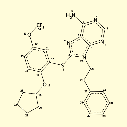 Nc1ncnc2c1nc(Sc1cc(OC(F)(F)F)ccc1OC1CCCC1)n2CCc1ccccc1